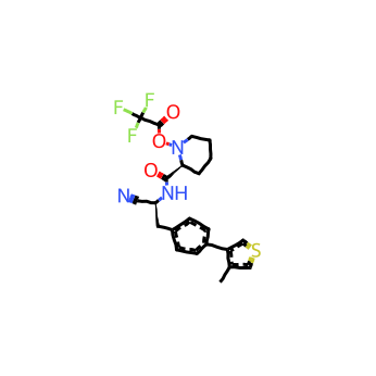 Cc1cscc1-c1ccc(C[C@@H](C#N)NC(=O)[C@@H]2CCCCN2OC(=O)C(F)(F)F)cc1